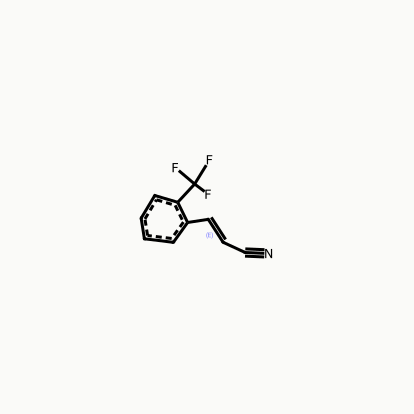 N#C/C=C/c1ccccc1C(F)(F)F